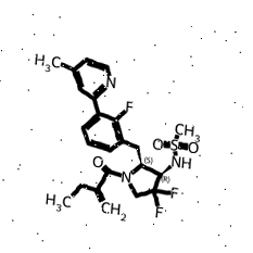 C=C(CC)C(=O)N1CC(F)(F)[C@H](NS(C)(=O)=O)[C@@H]1Cc1cccc(-c2cc(C)ccn2)c1F